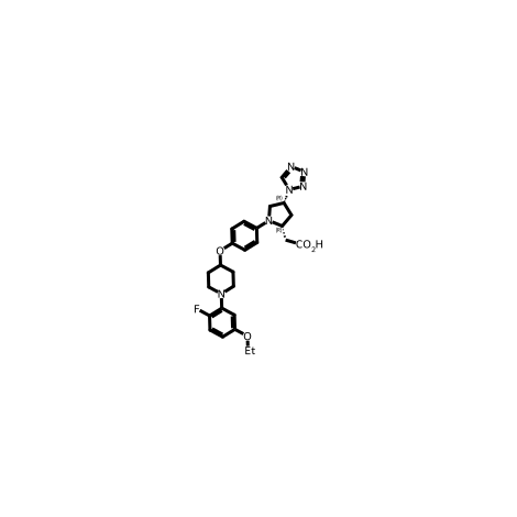 CCOc1ccc(F)c(N2CCC(Oc3ccc(N4C[C@H](n5cnnn5)C[C@@H]4CC(=O)O)cc3)CC2)c1